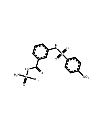 NP(N)(=O)NC(=O)c1cccc(NS(=O)(=O)c2ccc([N+](=O)[O-])cc2)c1